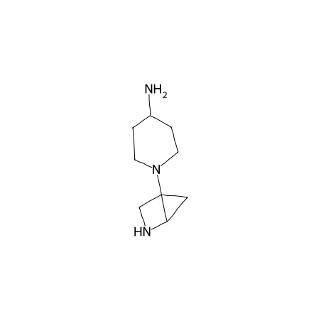 NC1CCN(C23CNC2C3)CC1